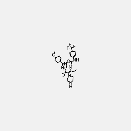 CCc1c(N2CCNCC2)c(=O)n2nc(C3=CCC(OC)CC3)nc2n1CC(=O)Nc1ccc(C(F)(F)F)cc1